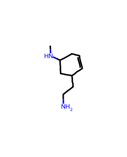 CNC1CC=CC(CCN)C1